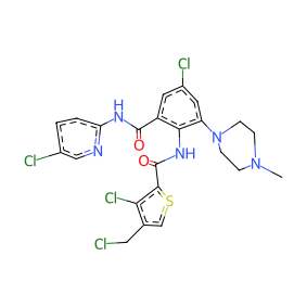 CN1CCN(c2cc(Cl)cc(C(=O)Nc3ccc(Cl)cn3)c2NC(=O)c2scc(CCl)c2Cl)CC1